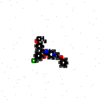 COc1ccc([C@@H](NC(=O)C2CCN(CCOc3ccccc3)CC2)c2ccc(Cl)cc2)cc1